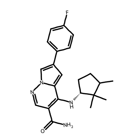 CC1CC[C@@H](Nc2c(C(N)=O)cnn3cc(-c4ccc(F)cc4)cc23)C1(C)C